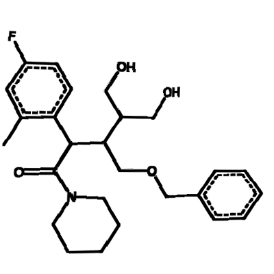 Cc1cc(F)ccc1C(C(=O)N1CCCCC1)C(COCc1ccccc1)C(CO)CO